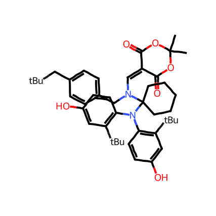 CC(C)(C)Cc1ccc(CN(C=C2C(=O)OC(C)(C)OC2=O)C2(N(c3ccc(O)cc3C(C)(C)C)c3ccc(O)cc3C(C)(C)C)CCCCC2)cc1